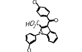 O=C(c1ccc(Cl)cc1)c1c(C(=O)O)n(-c2cccc(Cl)c2)c2ccccc12